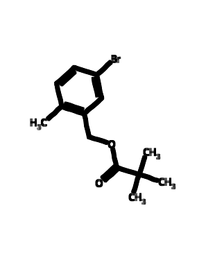 Cc1ccc(Br)cc1COC(=O)C(C)(C)C